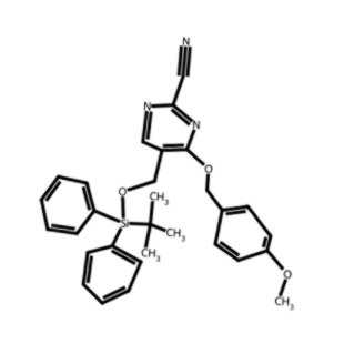 COc1ccc(COc2nc(C#N)ncc2CO[Si](c2ccccc2)(c2ccccc2)C(C)(C)C)cc1